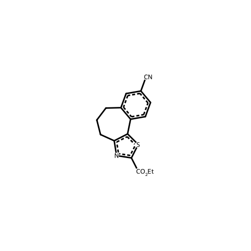 CCOC(=O)c1nc2c(s1)-c1ccc(C#N)cc1CCC2